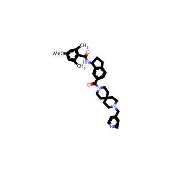 COc1cc(C)c(C(=O)NC2CCc3ccc(C(=O)N4CCC5(CCN(Cc6ccncc6)CC5)CC4)cc32)c(C)c1